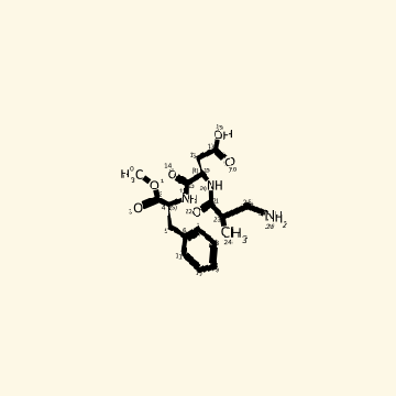 COC(=O)[C@H](Cc1ccccc1)NC(=O)[C@@H](CC(=O)O)NC(=O)C(C)CN